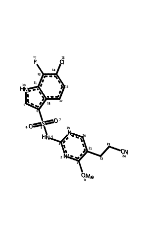 COc1nc(NS(=O)(=O)c2c[nH]c3c(F)c(Cl)ccc23)ncc1CCC#N